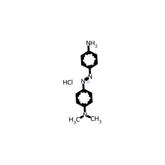 CN(C)c1ccc(/N=N/c2ccc(N)cc2)cc1.Cl